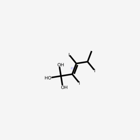 CC(I)/C(I)=C(\I)C(O)(O)O